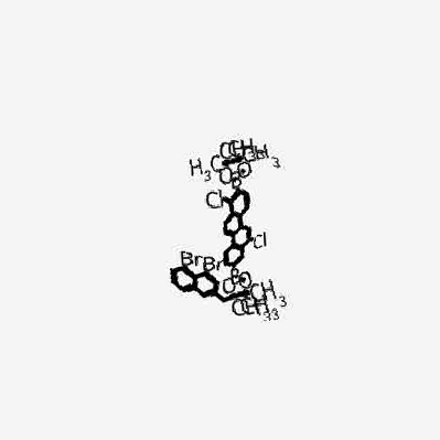 CC1(C)OB(c2ccc3c(ccc4c5ccc(B6OC(C)(C)C(C)(Cc7cc(Br)c8c(Br)cccc8c7)O6)cc5c(Cl)cc34)c2Cl)OC1(C)C